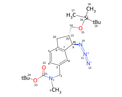 CN(Cc1ccc2c(c1)[C@H](N=[N+]=[N-])[C@@H](CO[Si](C)(C)C(C)(C)C)C2)C(=O)OC(C)(C)C